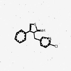 N=C1SC=C(c2ccccc2)C1Cc1ccc(Cl)nc1